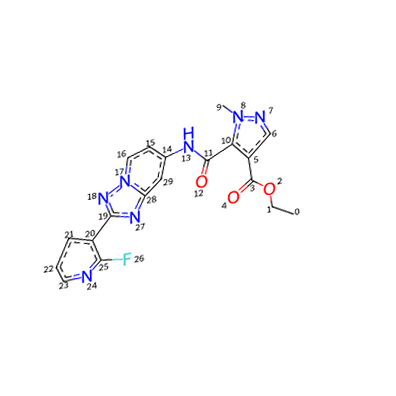 CCOC(=O)c1cnn(C)c1C(=O)Nc1ccn2nc(-c3cccnc3F)nc2c1